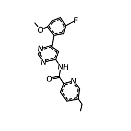 CCc1ccc(C(=O)Nc2cc(-c3cc(F)ccc3OC)ncn2)nc1